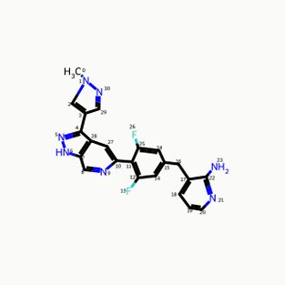 Cn1cc(-c2n[nH]c3cnc(-c4c(F)cc(Cc5cccnc5N)cc4F)cc23)cn1